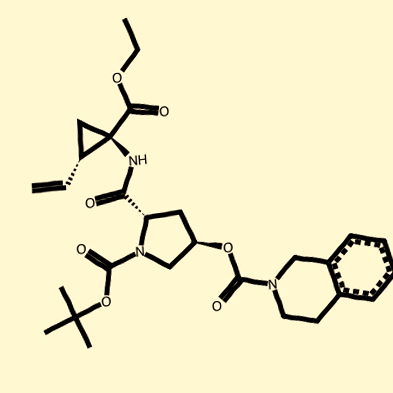 C=C[C@@H]1C[C@]1(NC(=O)[C@@H]1C[C@@H](OC(=O)N2CCc3ccccc3C2)CN1C(=O)OC(C)(C)C)C(=O)OCC